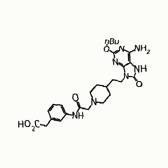 CCCCOc1nc(N)c2[nH]c(=O)n(CCC3CCN(CC(=O)Nc4cccc(CC(=O)O)c4)CC3)c2n1